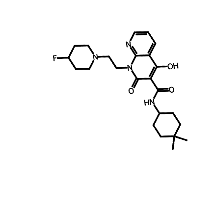 CC1(C)CCC(NC(=O)c2c(O)c3cccnc3n(CCN3CCC(F)CC3)c2=O)CC1